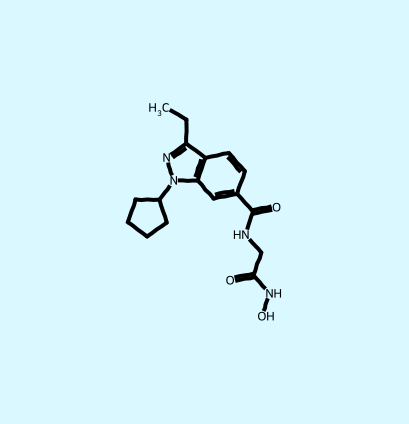 CCc1nn(C2CCCC2)c2cc(C(=O)NCC(=O)NO)ccc12